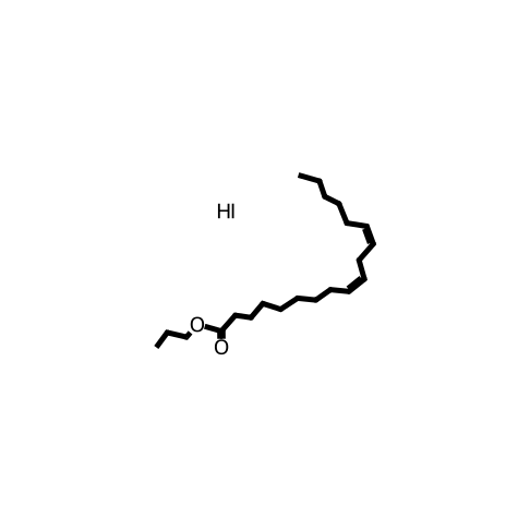 CCCCC/C=C\C/C=C\CCCCCCCC(=O)OCCC.I